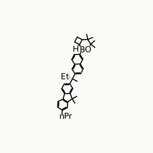 CCCc1ccc2c(c1)C(C)(C)c1cc([C@@](C)(CC)c3ccc4cc(B5OC(C)(C)C(C)(C)C6CC[C@@H]56)ccc4c3)ccc1-2